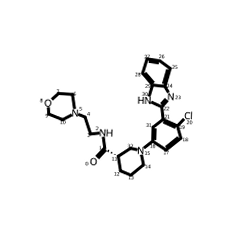 O=C(NCCN1CCOCC1)[C@H]1CCCN(c2ccc(Cl)c(-c3nc4ccccc4[nH]3)c2)C1